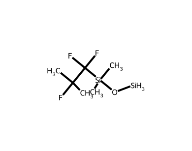 CC(C)(F)C(F)(F)[Si](C)(C)O[SiH3]